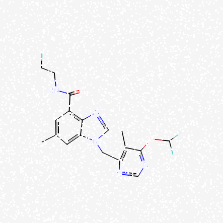 Cc1cc(C(=O)NCCF)c2ncn(Cc3ncnc(OC(F)F)c3C)c2c1